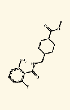 COC(=O)C1CCC(CNC(=O)c2c(N)cccc2F)CC1